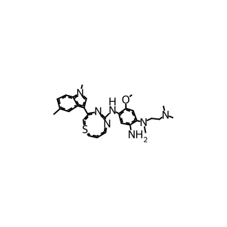 COc1cc(N(C)CCN(C)C)c(N)cc1Nc1ncccscc(-c2cn(C)c3ccc(C)cc23)n1